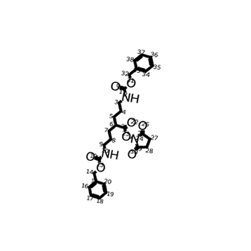 O=C(NCCCC(CCCNC(=O)OCc1ccccc1)C(=O)ON1C(=O)CCC1=O)OCc1ccccc1